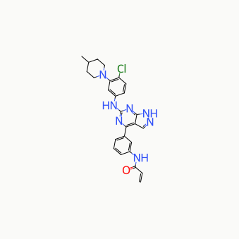 C=CC(=O)Nc1cccc(-c2nc(Nc3ccc(Cl)c(N4CCC(C)CC4)c3)nc3[nH]ncc23)c1